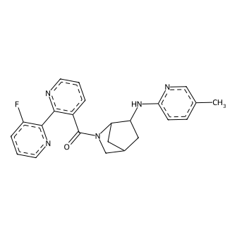 Cc1ccc(NC2CC3CC2N(C(=O)c2cccnc2-c2ncccc2F)C3)nc1